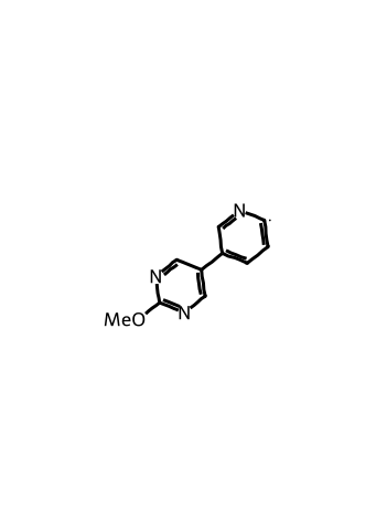 COc1ncc(-c2cc[c]nc2)cn1